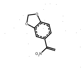 C=C(c1ccc2c(c1)OCO2)[N+](=O)[O-]